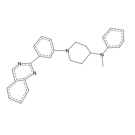 CN(c1ccccc1)C1CCN(c2cccc(-c3ncc4ccccc4n3)c2)CC1